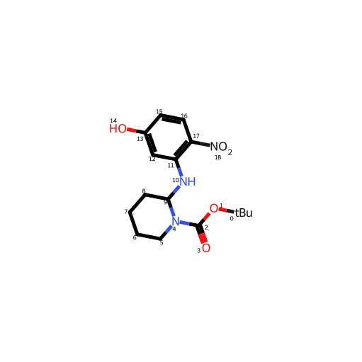 CC(C)(C)OC(=O)N1CCCCC1Nc1cc(O)ccc1[N+](=O)[O-]